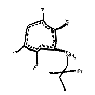 CC(C)C(C)(C)[SiH2]c1c(F)c(F)[c]c(F)c1F